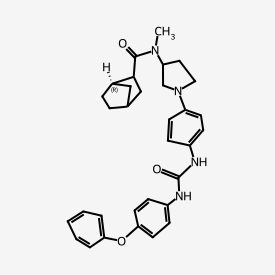 CN(C(=O)C1CC2CC[C@@H]1C2)C1CCN(c2ccc(NC(=O)Nc3ccc(Oc4ccccc4)cc3)cc2)C1